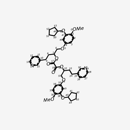 COc1ccc(OCC(CCc2cccnc2)OC(=O)C(=O)OC(CCc2cccnc2)COc2ccc(OC)c(OC3CCCC3)c2)cc1OC1CCCC1